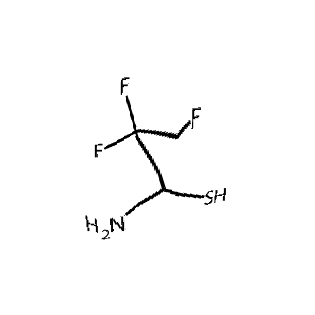 NC(S)C(F)(F)F